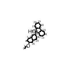 C=COc1ccc2cc(C3(O)c4ccccc4-c4ccccc43)ccc2c1